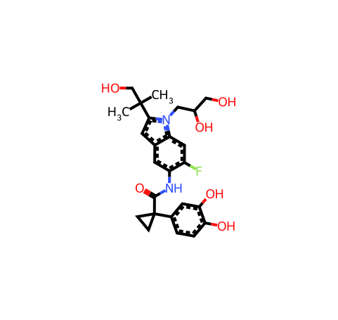 CC(C)(CO)c1cc2cc(NC(=O)C3(c4ccc(O)c(O)c4)CC3)c(F)cc2n1CC(O)CO